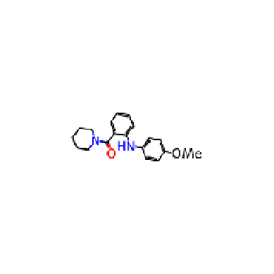 COc1ccc(Nc2ccccc2C(=O)N2CCCCC2)cc1